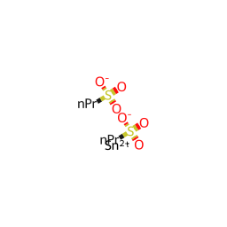 CCCS(=O)(=O)[O-].CCCS(=O)(=O)[O-].[Sn+2]